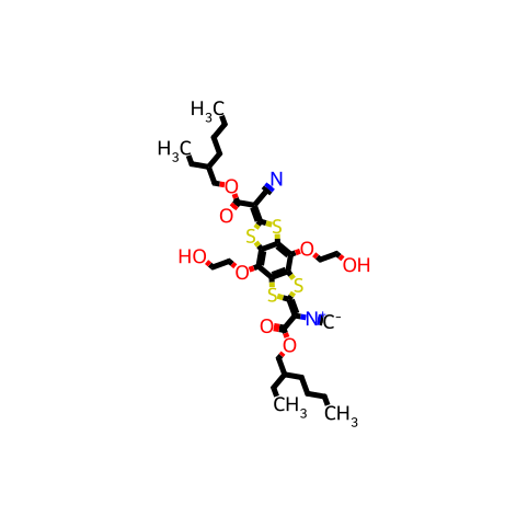 [C-]#[N+]C(C(=O)OCC(CC)CCCC)=C1Sc2c(OCCO)c3c(c(OCCO)c2S1)SC(=C(C#N)C(=O)OCC(CC)CCCC)S3